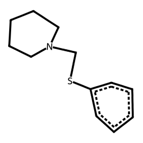 c1ccc(SCN2CCCCC2)cc1